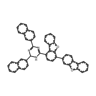 c1ccc2cc(C3=NC(c4ccc5ccccc5c4)NC(c4ccc(-c5ccc6c(c5)oc5ccccc56)c5oc6ccccc6c45)=N3)ccc2c1